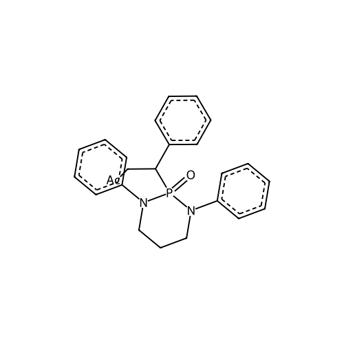 CC(=O)CC(c1ccccc1)P1(=O)N(c2ccccc2)CCCN1c1ccccc1